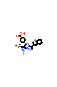 Cc1n[nH]c2c1c([C@H]1CC[C@H](C(=O)O)CC1)nc1c(-c3cnc4ccccc4c3)cnn12